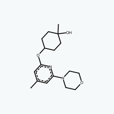 Cc1cc(OC2CCC(C)(O)CC2)nc(N2CCOCC2)c1